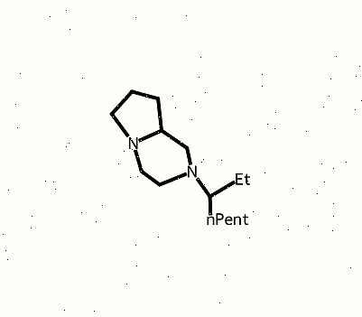 CCCCCC(CC)N1CCN2CCCC2C1